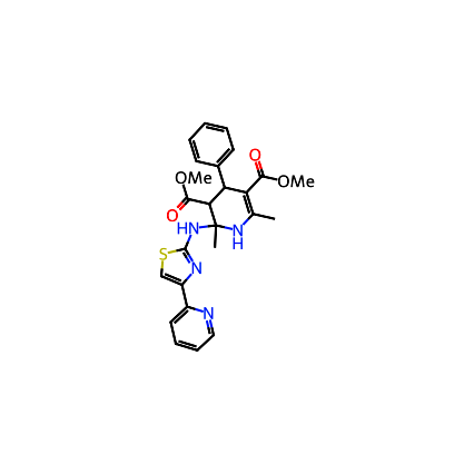 COC(=O)C1=C(C)NC(C)(Nc2nc(-c3ccccn3)cs2)C(C(=O)OC)C1c1ccccc1